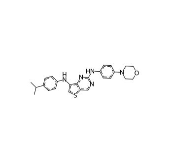 CC(C)c1ccc(Nc2csc3cnc(Nc4ccc(N5CCOCC5)cc4)nc23)cc1